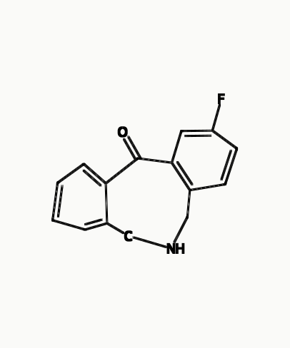 O=C1c2ccccc2CNCc2ccc(F)cc21